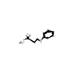 O=C(O)C(Cl)CCOc1ccccc1